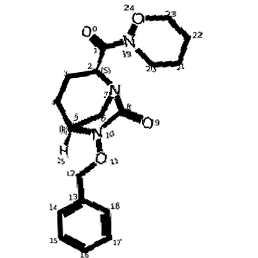 O=C([C@@H]1CC[C@@H]2CN1C(=O)N2OCc1ccccc1)N1CCCCO1